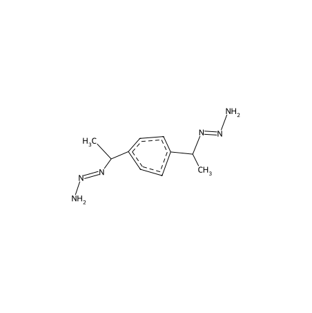 CC(N=NN)c1ccc(C(C)N=NN)cc1